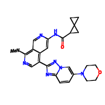 CNc1ncc(-c2nc3ccc(N4CCOCC4)cn3n2)c2cc(NC(=O)C3CC34CC4)ncc12